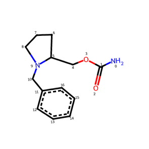 NC(=O)OCC1CCCN1Cc1ccccc1